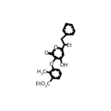 CCOC(=O)c1cccc(Oc2c(O)cc(C(CC)Cc3ccccc3)oc2=O)c1C